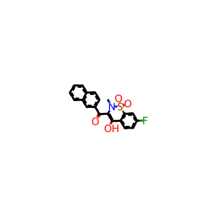 CN1C(C(=O)c2ccc3ccccc3c2)=C(O)c2ccc(F)cc2S1(=O)=O